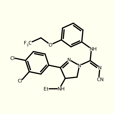 CCNC1CN(/C(=N\C#N)Nc2cccc(OCC(F)(F)F)c2)N=C1c1ccc(Cl)c(Cl)c1